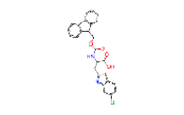 O=C(NC(Cc1nc2cc(Cl)ccc2s1)C(=O)O)OCC1c2ccccc2-c2ccccc21